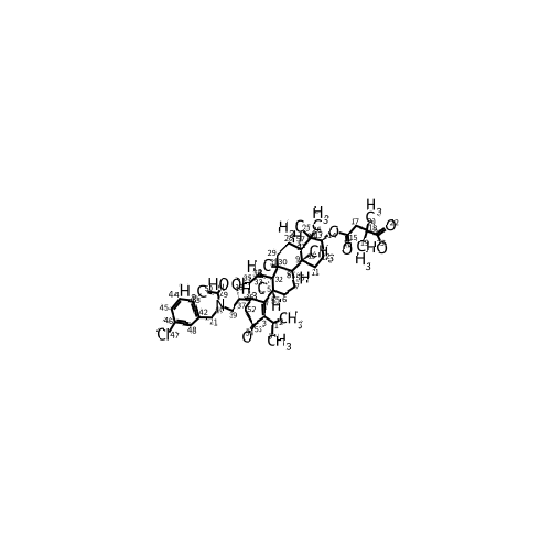 CC(C)C1=C2[C@H]3CC[C@@H]4[C@@]5(C)CC[C@H](OC(=O)CC(C)(C)C(=O)O)C(C)(C)[C@@H]5CC[C@@]4(C)[C@]3(C)CC[C@@]2([C@@H](O)CN(Cc2cccc(Cl)c2)C(C)O)CC1=O